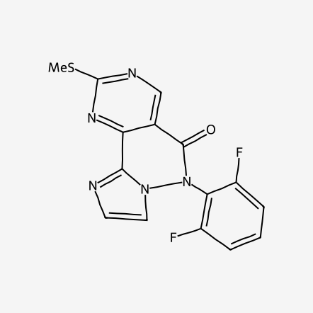 CSc1ncc2c(=O)n(-c3c(F)cccc3F)n3ccnc3c2n1